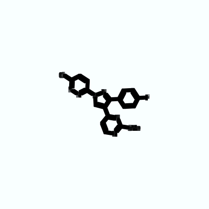 CSc1nccc(-c2cn(-c3ccc(Cl)nn3)nc2-c2ccc(F)cc2)n1